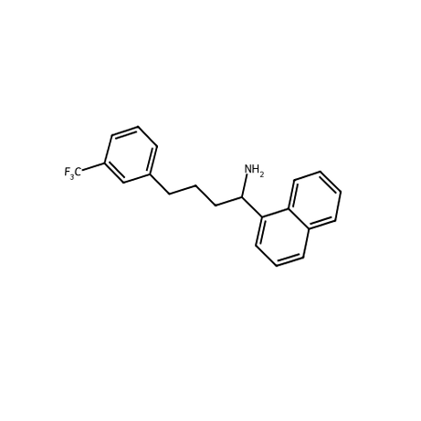 NC(CCCc1cccc(C(F)(F)F)c1)c1cccc2ccccc12